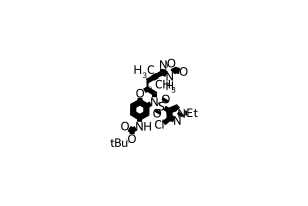 CCn1cc(S(=O)(=O)N2C[C@H](CC(C)(C)c3noc(=O)[nH]3)Oc3ccc(NC(=O)OC(C)(C)C)cc32)c(Cl)n1